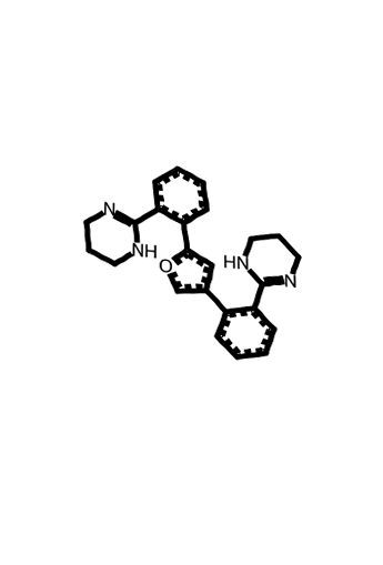 c1ccc(-c2coc(-c3ccccc3C3=NCCCN3)c2)c(C2=NCCCN2)c1